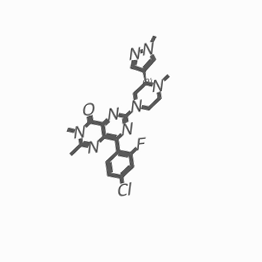 Cc1nc2c(-c3ccc(Cl)cc3F)nc(N3CCN(C)[C@H](c4cnn(C)c4)C3)nc2c(=O)n1C